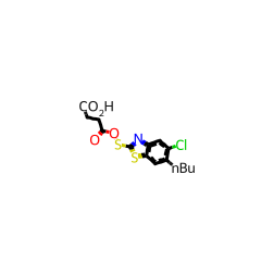 CCCCc1cc2sc(SOC(=O)CCC(=O)O)nc2cc1Cl